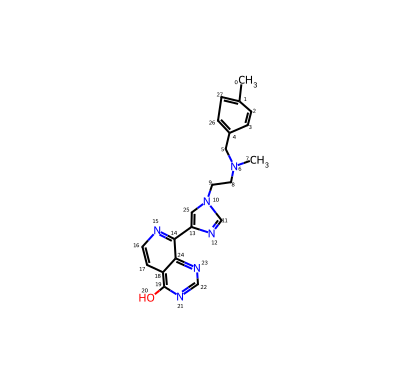 Cc1ccc(CN(C)CCn2cnc(-c3nccc4c(O)ncnc34)c2)cc1